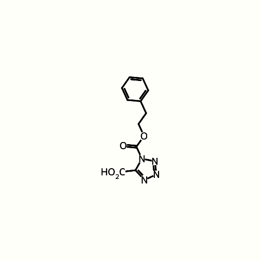 O=C(O)c1nnnn1C(=O)OCCc1ccccc1